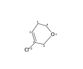 ClC1=CCCOC1